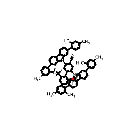 Cc1ccc(-c2ccc3c4ccc(-c5ccc(C)cc5C)cc4n(-c4cc(-c5c(C(F)(F)F)cccc5C(F)(F)F)c(-n5c6cc(-c7ccc(C)cc7C)ccc6c6ccc(-c7ccc(C)cc7C)cc65)cc4C#N)c3c2)c(C)c1